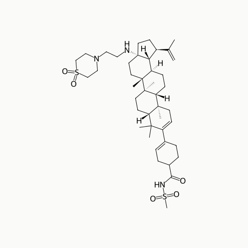 C=C(C)[C@@H]1CC[C@]2(NCCN3CCS(=O)(=O)CC3)CC[C@]3(C)[C@H](CC[C@@H]4[C@@]5(C)CC=C(C6=CCC(C(=O)NS(C)(=O)=O)CC6)C(C)(C)[C@@H]5CC[C@]43C)[C@@H]12